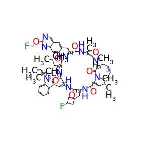 C=CC(C)(C)n1cc(C[C@@H]2NC(=O)[C@H](CC3CC(F)C3)NC(=O)[C@H](CC(C)C)N3CC/C=C\C[C@@H](C3=O)N(C)C(=O)[C@H](C)NC(=O)[C@H](Cc3ccc4nc(OCF)ncc4c3)NC(=O)[C@H](CC(C)C)N(C)C2=O)c2ccccc21